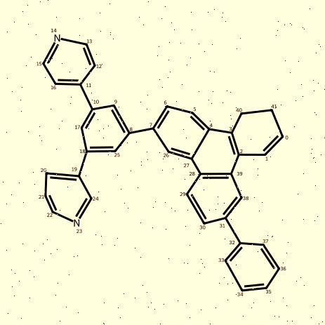 C1=Cc2c(c3ccc(-c4cc(-c5ccncc5)cc(-c5cccnc5)c4)cc3c3ccc(-c4ccccc4)cc23)CC1